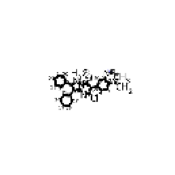 C=Nc1ccc(-c2c(Cl)nc3c(C4=CCCCC4)c(-c4ccccc4)nn3c2OC)cc1/N=C\C